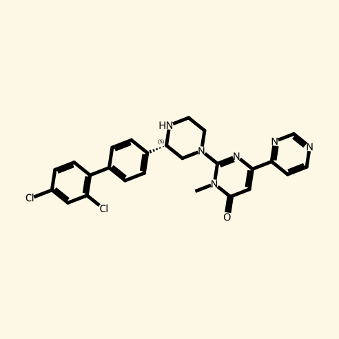 Cn1c(N2CCN[C@@H](c3ccc(-c4ccc(Cl)cc4Cl)cc3)C2)nc(-c2ccncn2)cc1=O